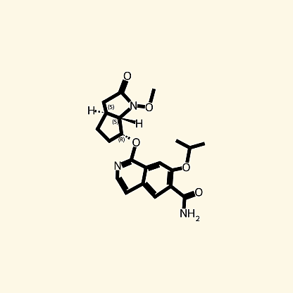 CON1C(=O)C[C@@H]2CC[C@@H](Oc3nccc4cc(C(N)=O)c(OC(C)C)cc34)[C@H]21